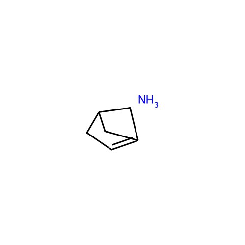 C1=C2CC(C1)C2.N